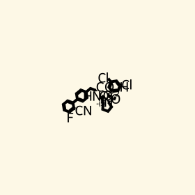 C[C@@]1(C(=O)NC(Cc2ccc(-c3cccc(F)c3C#N)cc2)C(=O)O)CCCN1S(=O)(=O)c1cc(Cl)cc(Cl)c1